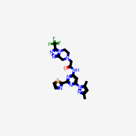 Cc1cc(C)n(-c2cc(NC(=O)CN3CCn4c(nnc4C(F)(F)F)C3)nc(-c3nccs3)n2)n1